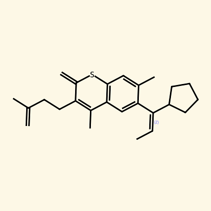 C=C(C)CCC1=C(C)c2cc(/C(=C\C)C3CCCC3)c(C)cc2SC1=C